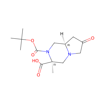 CC(C)(C)OC(=O)N1C[C@H]2CC(=O)CN2C[C@@]1(C)C(=O)O